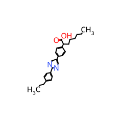 CCCCCCC(C(=O)O)c1ccc(-c2cnc(-c3ccc(CCC)cc3)nc2)cc1